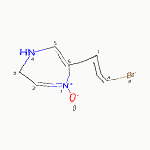 [O-][N+]1=CCNC=C1C=CBr